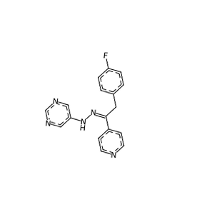 Fc1ccc(CC(=NNc2cncnc2)c2ccncc2)cc1